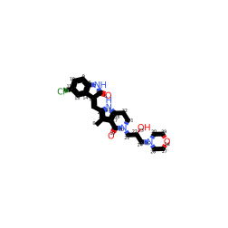 Cc1c(C=C2C(=O)Nc3ccc(Cl)cc32)[nH]c2c1C(=O)N(C[C@H](O)CN1CCOCC1)CC2